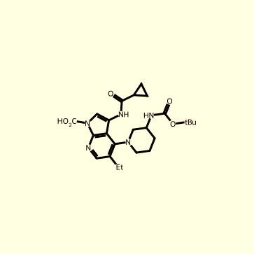 CCc1cnc2c(c(NC(=O)C3CC3)cn2C(=O)O)c1N1CCCC(NC(=O)OC(C)(C)C)C1